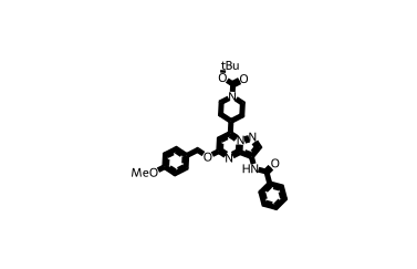 COc1ccc(COc2cc(C3CCN(C(=O)OC(C)(C)C)CC3)n3ncc(NC(=O)c4ccccc4)c3n2)cc1